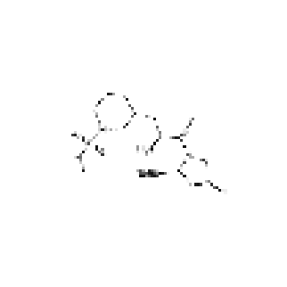 CC(C)S(=O)(=O)N1CCCC(C[C@H](N)C(=O)N2C[C@@H](F)C[C@H]2C#N)C1